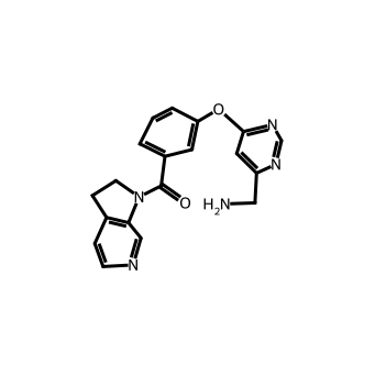 NCc1cc(Oc2cccc(C(=O)N3CCc4ccncc43)c2)ncn1